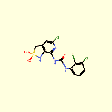 O=C(Nc1cccc(Cl)c1Cl)Nc1nc(Cl)cc2c1NS(O)(O)C2